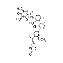 COc1nc(-c2ccc(F)c(-c3c(F)ccc(NC(=O)c4nn(C)c(=O)n(C)c4=O)c3C)c2Cl)cc2c1C(N1CC3(CCC(=O)N3)C1)CC2